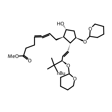 CCCCC(C)(C)[C@@H](C=C[C@@H]1[C@@H](CC=C=CCCC(=O)OC)[C@H](O)C[C@H]1OC1CCCCO1)OC1CCCCO1